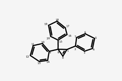 C1=C(c2ccccc2)C1(c1ccccc1)c1ccccc1